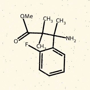 COC(=O)C(C)(C)C(C)(N)c1ccccc1F